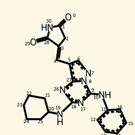 O=C1C/C(=C\c2cnn3c(Nc4ccccc4)nc(NC4CCCCC4)nc23)C(=O)N1